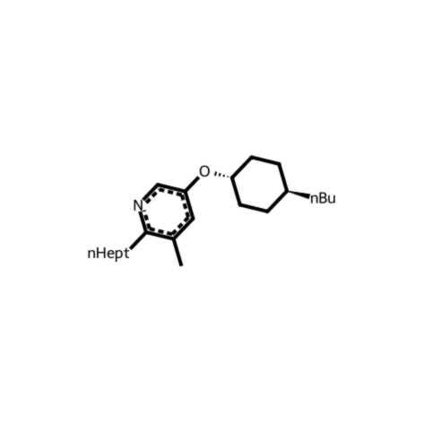 CCCCCCCc1ncc(O[C@H]2CC[C@H](CCCC)CC2)cc1C